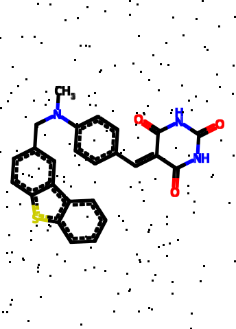 CN(Cc1ccc2sc3ccccc3c2c1)c1ccc(C=C2C(=O)NC(=O)NC2=O)cc1